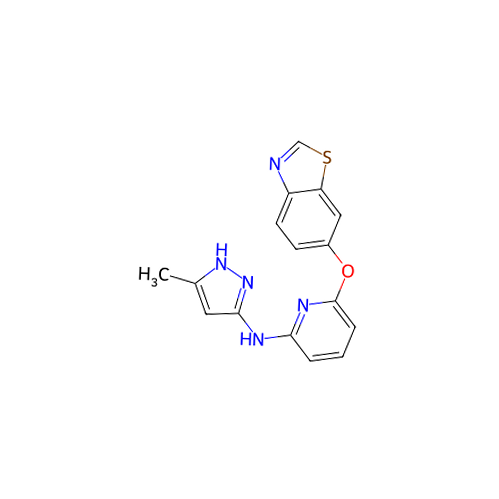 Cc1cc(Nc2cccc(Oc3ccc4ncsc4c3)n2)n[nH]1